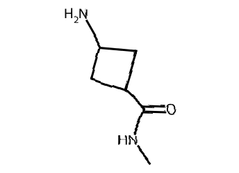 CNC(=O)C1CC(N)C1